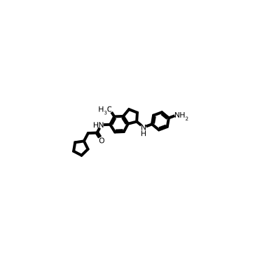 Cc1c(NC(=O)CC2CCCC2)ccc2c1CCC2Nc1ccc(N)cc1